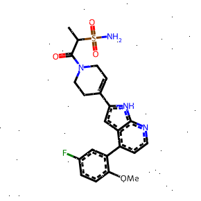 COc1ccc(F)cc1-c1ccnc2[nH]c(C3=CCN(C(=O)C(C)S(N)(=O)=O)CC3)cc12